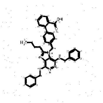 CCCCc1nc2c(SCc3ccccc3)nnc(SCc3ccccc3)c2n1Cc1ccc(-c2ccccc2C(=O)O)cc1